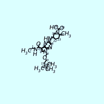 CCNC(=O)c1cn(COCC[Si](C)(C)C)c2ncc(NC3CCC(C)N(C(=O)O)C3)nc12